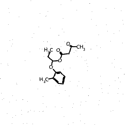 CCC(OC(=O)CC(C)=O)Oc1ccccc1C